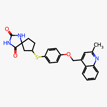 Cc1cc(COc2ccc(SC3CCC4(C3)NC(=O)NC4=O)cc2)c2ccccc2n1